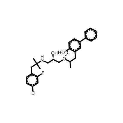 CC(Cc1cc(-c2ccccc2)ccc1C(=O)O)OC[C@H](O)CNC(C)(C)Cc1ccc(Cl)cc1F